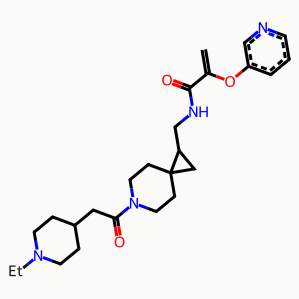 C=C(Oc1cccnc1)C(=O)NCC1CC12CCN(C(=O)CC1CCN(CC)CC1)CC2